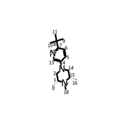 C[C@@H]1CN(c2ccc(C(C)(C)C)nc2)C[C@H](C)N1C